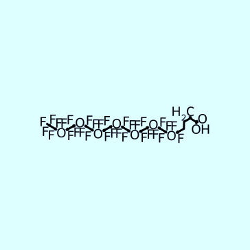 C=C(CCC(F)(F)OC(F)(F)C(F)(F)OC(F)(F)C(F)(F)OC(F)(F)C(F)(F)OC(F)(F)C(F)(F)OC(F)(F)C(F)(F)OC(F)(F)C(F)(F)OC(F)(F)C(F)(F)F)C(=O)O